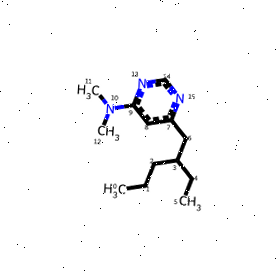 CCCC(CC)Cc1cc(N(C)C)ncn1